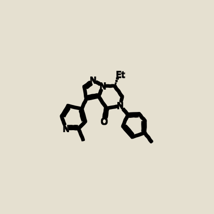 CC[C@@H]1CN(c2ccc(C)cc2)C(=O)c2c(-c3ccnc(C)c3)cnn21